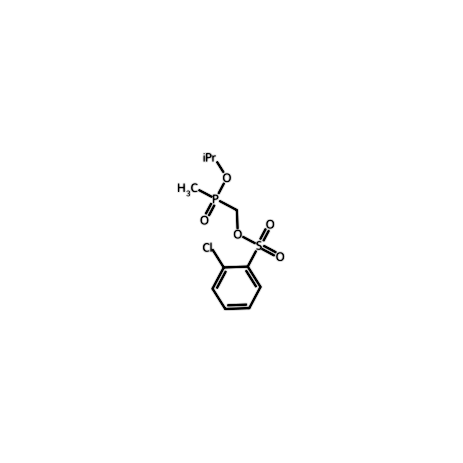 CC(C)OP(C)(=O)COS(=O)(=O)c1ccccc1Cl